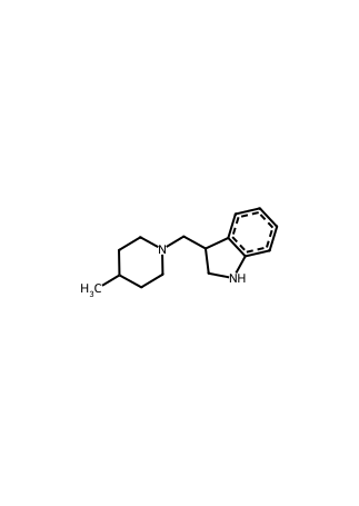 CC1CCN(CC2CNc3ccccc32)CC1